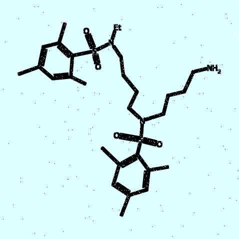 CCN(CCCCN(CCCCN)S(=O)(=O)c1c(C)cc(C)cc1C)S(=O)(=O)c1c(C)cc(C)cc1C